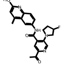 CC(=O)c1cc(C(=O)Nc2ccc3nc(O)cc(C)c3c2)c(N2CCC(F)C2)cn1